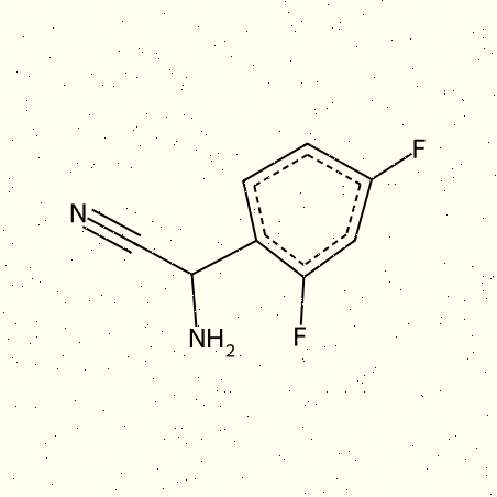 N#CC(N)c1ccc(F)cc1F